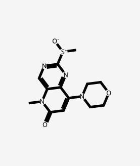 Cn1c(=O)cc(N2CCOCC2)c2nc([S+](C)[O-])ncc21